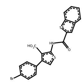 O=C(Nc1scc(-c2ccc(Br)cc2)c1C(=O)O)c1cc2ccccc2s1